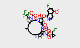 COc1cc(F)cc2c(O[C@@H]3C[C@H]4C(=O)N[C@]5(C(=O)NS(=O)(=O)C6(CF)CC6)C[C@H]5/C=C\CC[C@@H](C)C[C@@H](C)[C@H](N(C(=O)O)[C@H](C)C(F)(F)F)C(=O)N4C3)nccc12